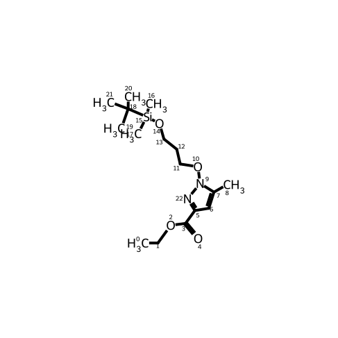 CCOC(=O)c1cc(C)n(OCCCO[Si](C)(C)C(C)(C)C)n1